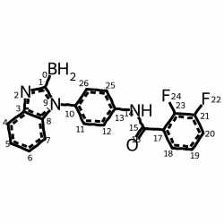 Bc1nc2ccccc2n1-c1ccc(NC(=O)c2cccc(F)c2F)cc1